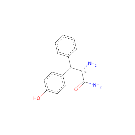 NC(=O)[C@@H](N)C(c1ccccc1)c1ccc(O)cc1